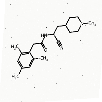 Cc1cc(C)c(CC(=O)NC(C#N)CC2CCN(C)CC2)c(C)c1